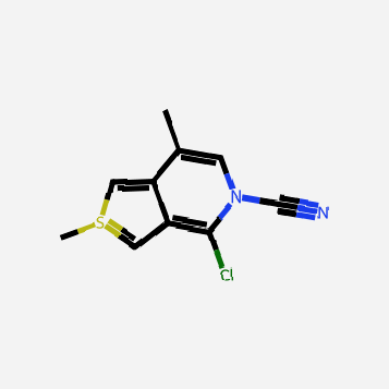 CC1=CN(C#N)C(Cl)=C2C=S(C)C=C12